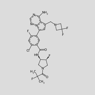 CC(C)(F)C(=O)N1C[C@H](F)[C@H](NC(=O)c2cc(-c3cc(CN4CC(F)(F)C4)c4c(N)ncnn34)c(F)cc2Cl)C1